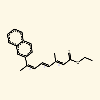 CCOC(=O)/C=C(C)/C=C/C=C(/C)c1ccc2ccccc2c1